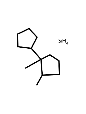 CC1CCCC1(C)C1CCCC1.[SiH4]